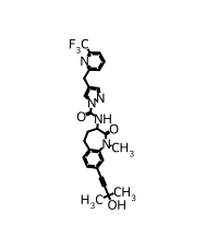 CN1C(=O)C(NC(=O)n2cc(Cc3cccc(C(F)(F)F)n3)cn2)CCc2ccc(C#CC(C)(C)O)cc21